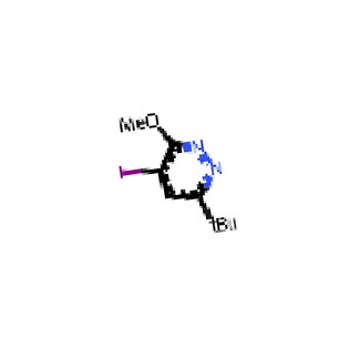 COc1nnc(C(C)(C)C)cc1I